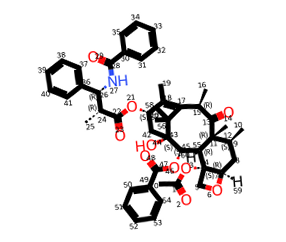 CC(=O)O[C@@]12CO[C@@H]1C[C@H](C)[C@@]1(C)C(=O)[C@H](C)C3=C(C)[C@@H](OC(=O)[C@H](C)[C@@H](NC(=O)c4ccccc4)c4ccccc4)C[C@@](O)([C@@H](OC(=O)c4ccccc4)[C@H]21)C3(C)C